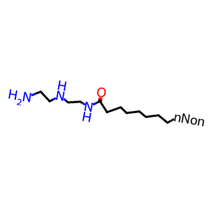 CCCCCCCCCCCCCCCCC(=O)NCCNCCN